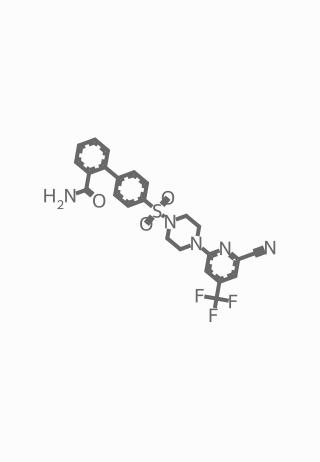 N#Cc1cc(C(F)(F)F)cc(N2CCN(S(=O)(=O)c3ccc(-c4ccccc4C(N)=O)cc3)CC2)n1